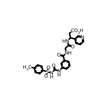 Cc1ccc(S(=O)(=O)NC(=O)Nc2cccc(C(=O)NCC(=O)NC(CC(=O)O)c3cccnc3)c2)cc1